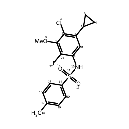 COc1c(Cl)c(C2CC2)cc(NS(=O)(=O)c2ccc(C)cc2)c1I